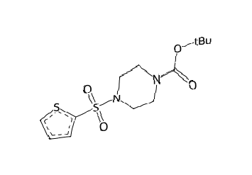 CC(C)(C)OC(=O)N1CCN(S(=O)(=O)c2cccs2)CC1